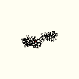 C=C1CCC(OC2CC(O)(C(C)NC(=O)c3[nH]c(C)c(Cl)c3Cl)C(O)C(C)O2)C2C=CC(C)C(C(=O)C3=C(O)N(C4OC(C)C(OC(C)=O)C(OC(C)=O)C4OC)C(C(C)C)C3=O)C12